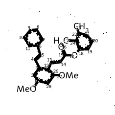 COc1cc(/C=C/c2ccccc2)c(/C=C/C(=O)Oc2cccc(C)c2C)c(OC)c1